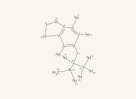 [2H]c1c([2H])c2c(c([2H])c1CC([2H])(N([2H])C)C([2H])([2H])[2H])OCO2